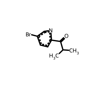 CC(C)C(=O)c1ccc(Br)cn1